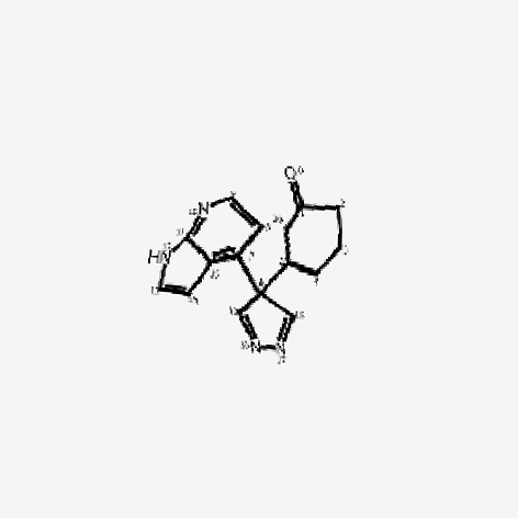 O=C1CCCC(C2(c3ccnc4[nH]ccc34)C=NN=C2)C1